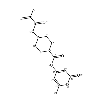 C=C(C)C(=O)OC1CCC(C(=O)Oc2cc(C)oc(=O)c2)CC1